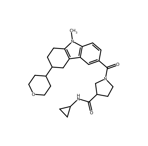 Cn1c2c(c3cc(C(=O)N4CCC(C(=O)NC5CC5)C4)ccc31)CC(C1CCOCC1)CC2